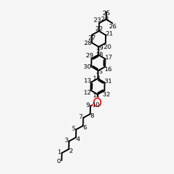 CCCCCCCCCCOc1ccc(-c2ccc(C3CCC(CC(C)C)CC3)cc2)cc1